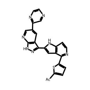 CC(=O)c1ccc(-c2nccc3[nH]c(-c4n[nH]c5ncc(-c6cnccn6)cc45)cc23)s1